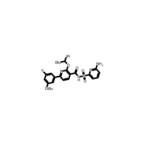 CC(C)COc1cc(F)cc(-c2ccc(C(=O)NS(=O)(=O)c3cccc(N)n3)c(OC(C(C)C)C(C)(C)C)n2)c1